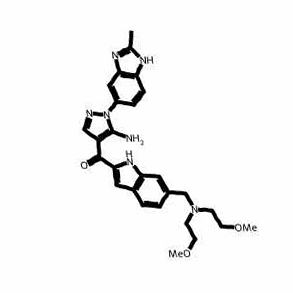 COCCN(CCOC)Cc1ccc2cc(C(=O)c3cnn(-c4ccc5[nH]c(C)nc5c4)c3N)[nH]c2c1